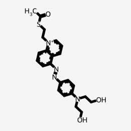 CC(=O)SCC[n+]1cccc2c(/N=N/c3ccc(N(CCO)CCO)cc3)cccc21